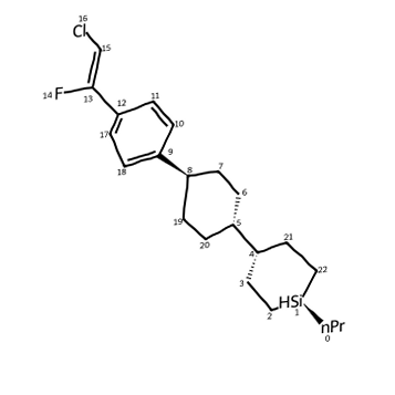 CCC[Si@H]1CC[C@H]([C@H]2CC[C@H](c3ccc(C(F)=CCl)cc3)CC2)CC1